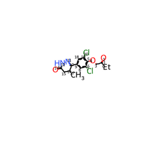 CCC(=O)COc1c(Cl)cc(C2=NNC(=O)CC2C)cc1Cl